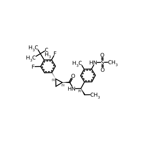 CC[C@@H](NC(=O)[C@H]1C[C@@H]1c1cc(F)c(C(C)(C)C)c(F)c1)c1ccc(NS(C)(=O)=O)c(C)c1